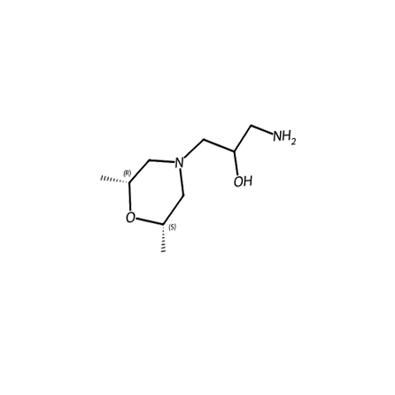 C[C@@H]1CN(CC(O)CN)C[C@H](C)O1